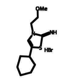 Br.COCCn1cc(C2CCCCC2)sc1=N